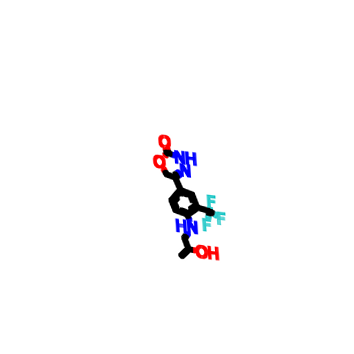 CC(O)CNc1ccc(C2=NNC(=O)OC2)cc1C(F)(F)F